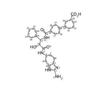 Nc1nc2ccc(NC(=O)C(O)C(NC(=O)c3ccc(-c4cccc(C(=O)O)c4)cc3)c3ccccc3)cc2[nH]1